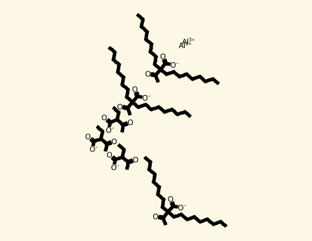 CCC(C(C)=O)C(=O)[O-].CCC(C(C)=O)C(=O)[O-].CCC(C(C)=O)C(=O)[O-].CCCCCCCCCC(CCCCCCCCC)(C(C)=O)C(=O)[O-].CCCCCCCCCC(CCCCCCCCC)(C(C)=O)C(=O)[O-].CCCCCCCCCC(CCCCCCCCC)(C(C)=O)C(=O)[O-].[Al+3].[Al+3]